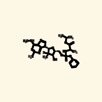 CNc1nc(N)nc2c1ncn2[C@@H]1O[C@H](COP(=O)(NC(C)C(=O)OC(C)C)Oc2ccccc2)[C@@H](O)[C@@]1(C)F